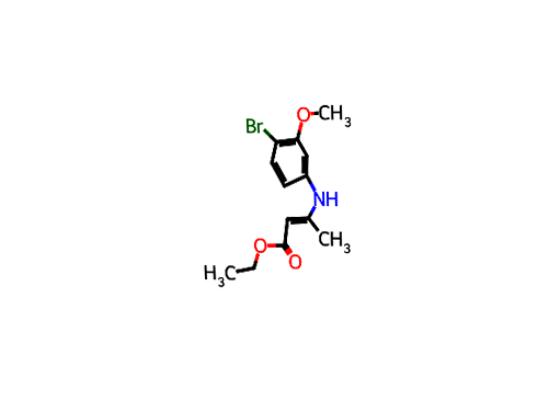 CCOC(=O)C=C(C)Nc1ccc(Br)c(OC)c1